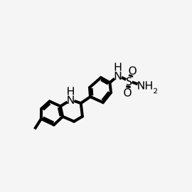 Cc1ccc2c(c1)CCC(c1ccc(NS(N)(=O)=O)cc1)N2